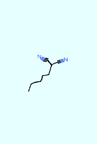 CCCCCC(C#N)C#N